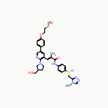 CCCCOCCOc1ccc(-c2cnc(N3CCC(CO)C3)c(/C=C(\C)C(=O)Nc3ccc([S+]([O-])Cc4nncn4CCC)cc3)c2)cc1